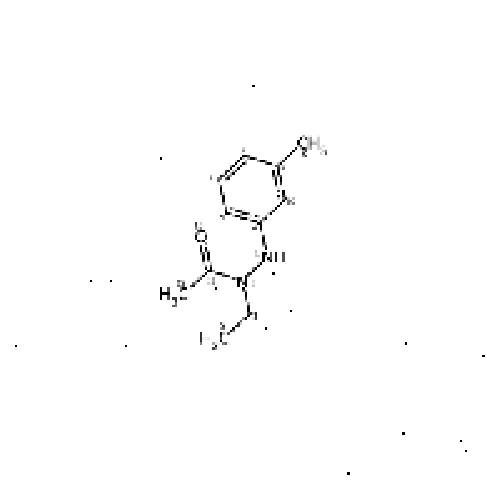 CCN(Nc1cccc(C)c1)C(C)=O